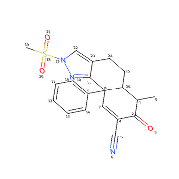 CC1C(=O)C(C#N)=CC2(c3ccccc3)c3nn(S(C)(=O)=O)cc3CCC12